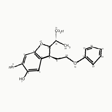 CCCc1cc2c(cc1O)[C@H](CCOc1ccccc1)C([C@@H](C)C(=O)O)O2